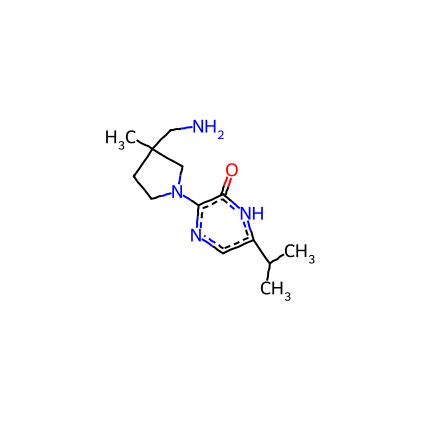 CC(C)c1cnc(N2CCC(C)(CN)C2)c(=O)[nH]1